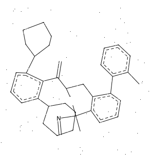 C=NC(C)(C)c1cccc(-c2ccccc2C)c1CC(C)C(=C)c1c(C2CCCCC2)cccc1C1CCCCC1